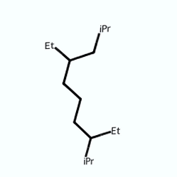 [CH2]C(C)C(CC)CCCC(CC)CC(C)C